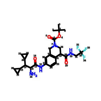 CC(C)(C)OC(=O)N1Cc2cc(NC(=O)[C@@H](N)C(C3CC3)C3CC3)ccc2C(C(=O)NCC(F)(F)F)C1